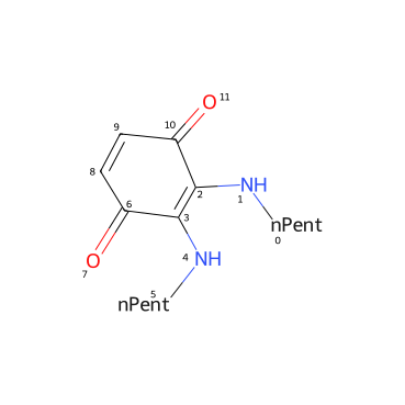 CCCCCNC1=C(NCCCCC)C(=O)C=CC1=O